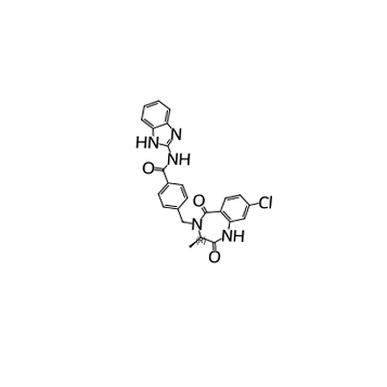 C[C@@H]1C(=O)Nc2cc(Cl)ccc2C(=O)N1Cc1ccc(C(=O)Nc2nc3ccccc3[nH]2)cc1